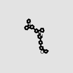 c1ccc(-n2c3ccccc3c3cc(-c4ccc5c(c4)c4ccccc4n5-c4ccc(-c5ccc(-c6ccc7oc8ccccc8c7c6)cc5)cn4)ccc32)cc1